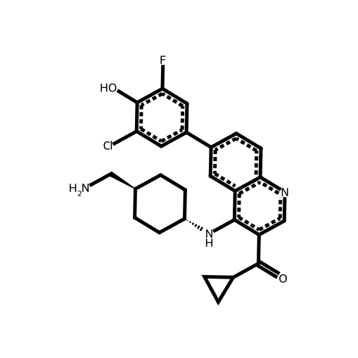 NC[C@H]1CC[C@H](Nc2c(C(=O)C3CC3)cnc3ccc(-c4cc(F)c(O)c(Cl)c4)cc23)CC1